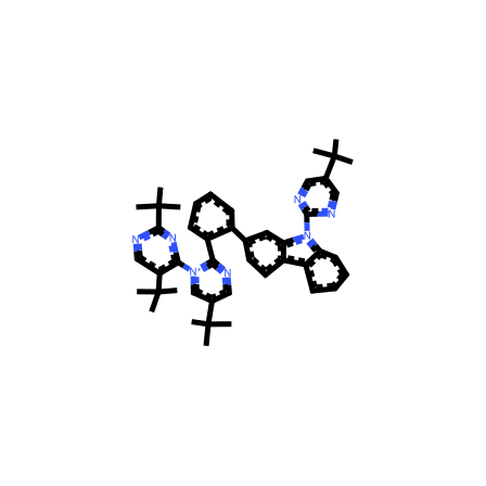 CC(C)(C)c1cnc(-n2c3ccccc3c3ccc(-c4ccccc4-c4ncc(C(C)(C)C)c[n+]4-c4nc(C(C)(C)C)ncc4C(C)(C)C)cc32)nc1